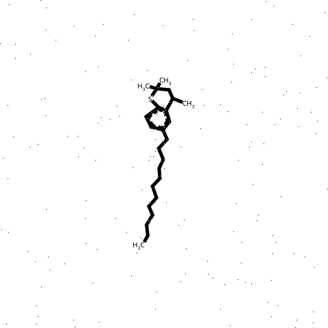 CCCCCCCCCCCCc1ccc2c(c1)C(C)CC(C)(C)S2